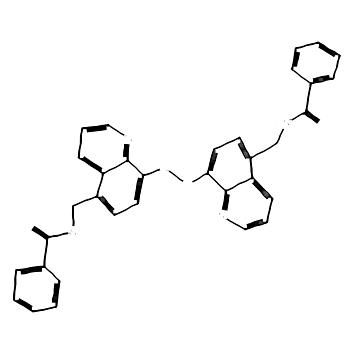 O=C(NCc1ccc(SSc2ccc(CNC(=O)c3ccccc3)c3cccnc23)c2ncccc12)c1ccccc1